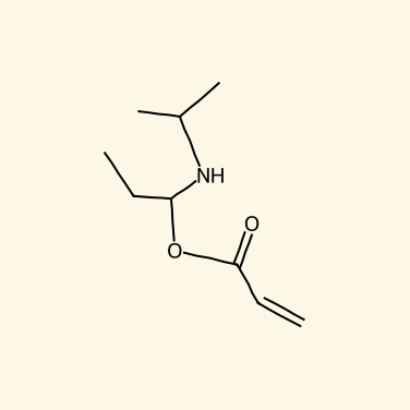 C=CC(=O)OC(CC)NC(C)C